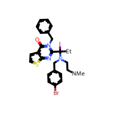 CCC(I)(c1nc2sccc2c(=O)n1Cc1ccccc1)N(CCNC)Cc1ccc(Br)cc1